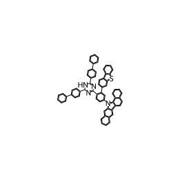 c1ccc(-c2ccc(C3=NC(c4ccc(-n5c6cc7ccccc7cc6c6ccc7ccccc7c65)cc4-c4ccc5c(c4)sc4ccccc45)=NC(c4ccc(-c5ccccc5)cc4)N3)cc2)cc1